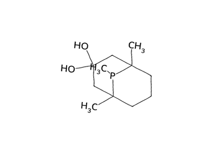 CP1C2(C)CCCC1(C)CC(O)(O)C2